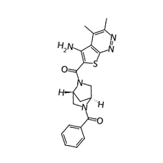 Cc1nnc2sc(C(=O)N3C[C@@H]4C[C@@H]3CN4C(=O)c3ccccc3)c(N)c2c1C